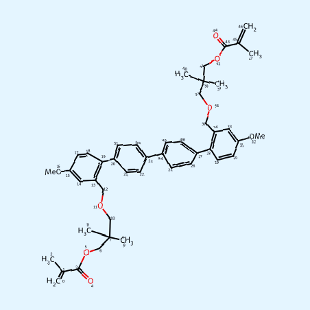 C=C(C)C(=O)OCC(C)(C)COCc1cc(OC)ccc1-c1ccc(-c2ccc(-c3ccc(OC)cc3COCC(C)(C)COC(=O)C(=C)C)cc2)cc1